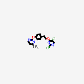 FC(F)(F)c1ccnc(Oc2ccc(CCOc3nc(Cl)ncc3Cl)cc2)n1